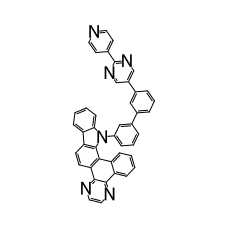 c1cc(-c2cnc(-c3ccncc3)nc2)cc(-c2cccc(-n3c4ccccc4c4ccc5c6nccnc6c6ccccc6c5c43)c2)c1